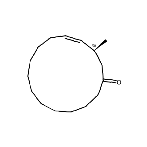 C[C@@H]1C=CCCCCCCCCCCC(=O)C1